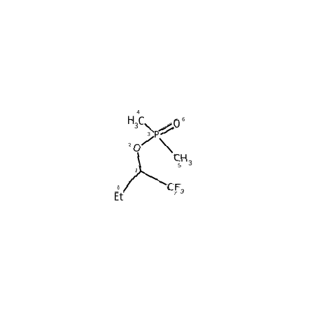 CCC(OP(C)(C)=O)C(F)(F)F